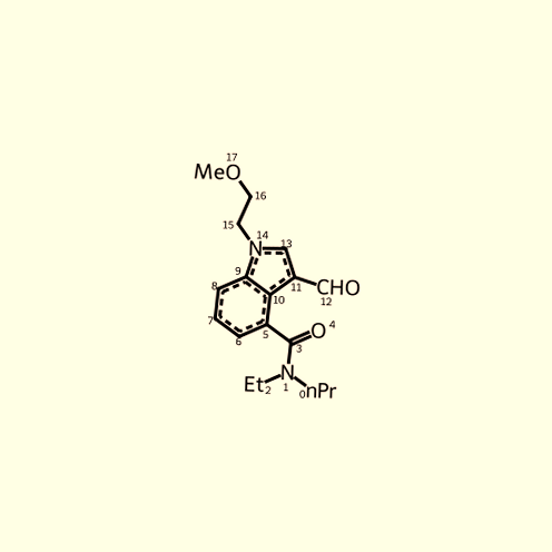 CCCN(CC)C(=O)c1cccc2c1c(C=O)cn2CCOC